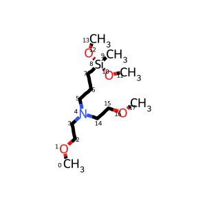 COCCN(CCC[Si](C)(OC)OC)CCOC